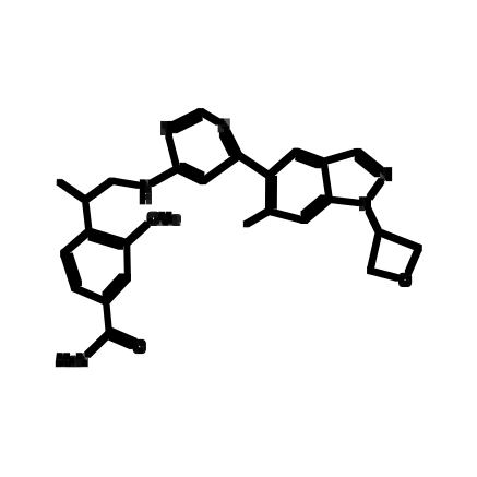 CNC(=O)c1ccc(C(C)CNc2cc(-c3cc4cnn(C5COC5)c4cc3C)ncn2)c(OC)c1